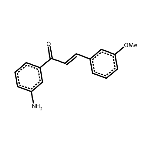 COc1cccc(/C=C/C(=O)c2cccc(N)c2)c1